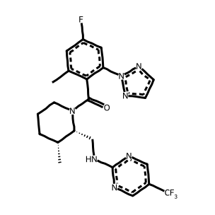 Cc1cc(F)cc(-n2nccn2)c1C(=O)N1CCC[C@@H](C)[C@H]1CNc1ncc(C(F)(F)F)cn1